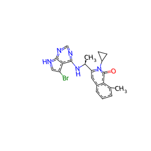 Cc1cccc2cc([C@H](C)Nc3ncnc4[nH]cc(Br)c34)n(C3CC3)c(=O)c12